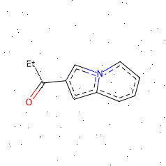 CCC(=O)c1cc2ccccn2c1